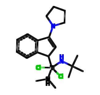 C[SiH](C)[Ti]([Cl])([Cl])([NH]C(C)(C)C)[CH]1C=C(N2CCCC2)c2ccccc21